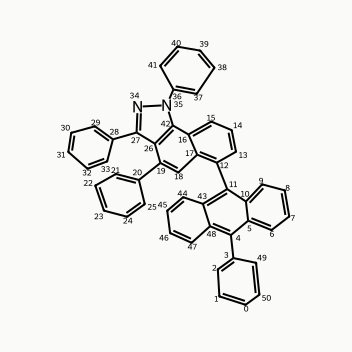 c1ccc(-c2c3ccccc3c(-c3cccc4c3cc(-c3ccccc3)c3c(-c5ccccc5)nn(-c5ccccc5)c34)c3ccccc23)cc1